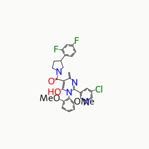 C=C1N=C(c2cncc(Cl)c2)N(c2c(OC)cccc2OC)C(O)=C1C(=O)N1CCC(c2ccc(F)cc2F)C1